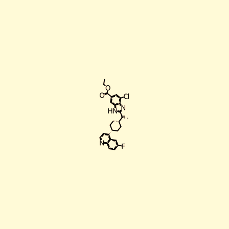 CCOC(=O)c1cc(Cl)c2nc([C@H](C)[C@H]3CC[C@@H](c4ccnc5ccc(F)cc54)CC3)[nH]c2c1